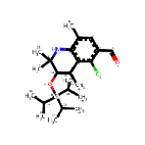 Cc1cc(C=O)c(Cl)c2c1NC(C)(C)C(O[Si](C(C)C)(C(C)C)C(C)C)C2C